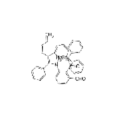 C=C/C=C\c1c(-c2ccccc2)n(-c2cccc(C=O)c2C(=O)N(C)c2ccccc2)c2c(-c3ccccc3)cccc12